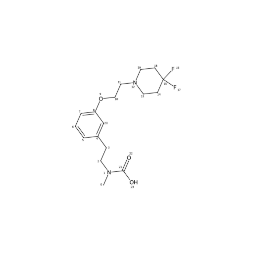 CN(CCc1cccc(OCCN2CCC(F)(F)CC2)c1)C(=O)O